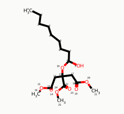 CCCCCCCCC(O)OC(CC(=O)OC)(CC(=O)OC)C(=O)OC